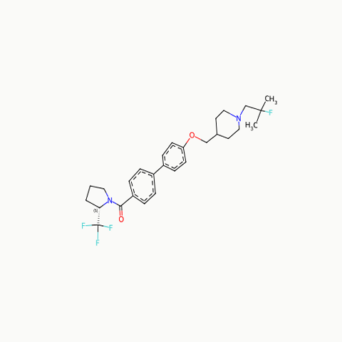 CC(C)(F)CN1CCC(COc2ccc(-c3ccc(C(=O)N4CCC[C@H]4C(F)(F)F)cc3)cc2)CC1